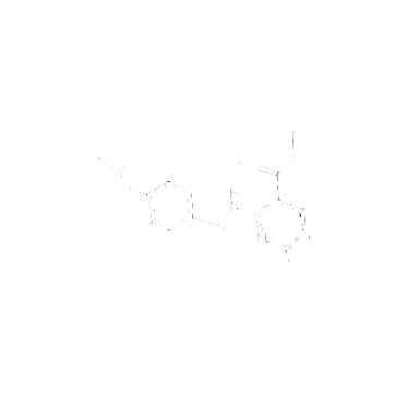 CCOC(=O)c1cnc(SC)nc1NCc1ccc(OCC)c(F)c1